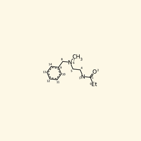 CCC(=O)[N]CCN(C)Cc1ccccc1